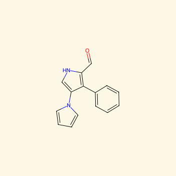 O=Cc1[nH]cc(-n2cccc2)c1-c1ccccc1